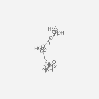 CC(=O)N[C@@H](CNC(=O)[SH](C)C)C(=O)NCCCCCCOP(=O)(O)OCCOCCOCCOP(=O)(O)OC(C)S